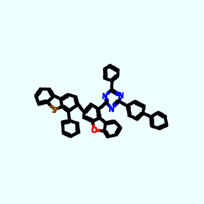 c1ccc(-c2ccc(-c3nc(-c4ccccc4)nc(-c4cc(-c5ccc6c(sc7ccccc76)c5-c5ccccc5)cc5oc6ccccc6c45)n3)cc2)cc1